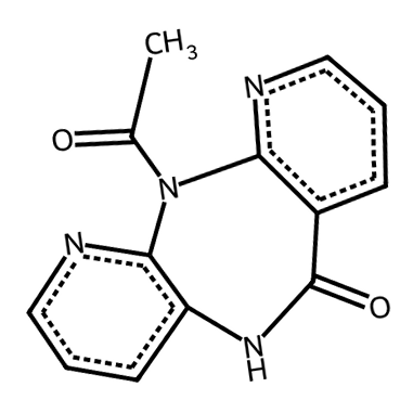 CC(=O)N1c2ncccc2NC(=O)c2cccnc21